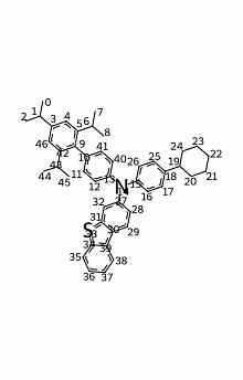 CC(C)c1cc(C(C)C)c(-c2ccc(N(c3ccc(C4CCCCC4)cc3)c3ccc4c(c3)sc3ccccc34)cc2)c(C(C)C)c1